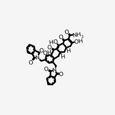 NC(=O)C1=C(O)C[C@@H]2C[C@@H]3Cc4c(CN5C(=O)c6ccccc6C5=O)cc(CN5C(=O)c6ccccc6C5=O)c(O)c4C(=O)C3=C(O)C2C1=O